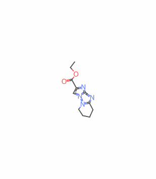 CCOC(=O)c1cn2c(n1)nc1n2CCCC1